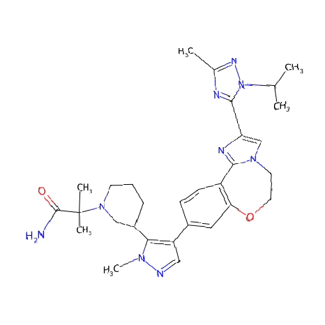 Cc1nc(-c2cn3c(n2)-c2ccc(-c4cnn(C)c4C4CCCN(C(C)(C)C(N)=O)C4)cc2OCC3)n(C(C)C)n1